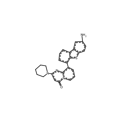 Nc1ccc2sc3c(-c4cccn5c(=O)cc(N6CCCCC6)nc45)cccc3c2c1